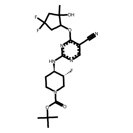 CC(C)(C)OC(=O)N1CC[C@@H](Nc2ncc(C#N)c(OC3CC(F)(F)CC3(C)O)n2)[C@H](F)C1